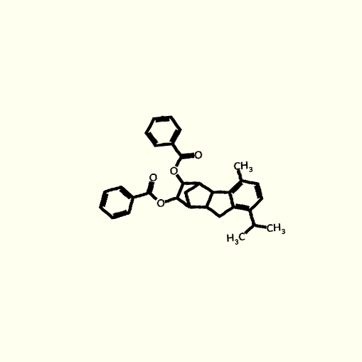 Cc1ccc(C(C)C)c2c1C1C(C2)C2CC1C(OC(=O)c1ccccc1)C2OC(=O)c1ccccc1